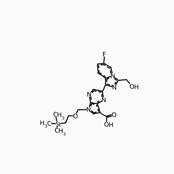 C[Si](C)(C)CCOCn1cc(C(=O)O)c2nc(-c3nc(CO)n4cc(F)ccc34)cnc21